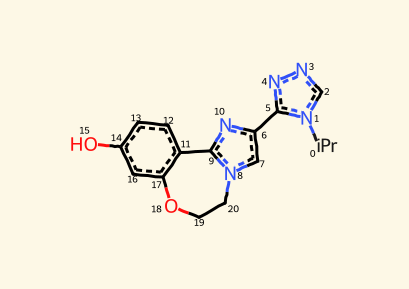 CC(C)n1cnnc1-c1cn2c(n1)-c1ccc(O)cc1OCC2